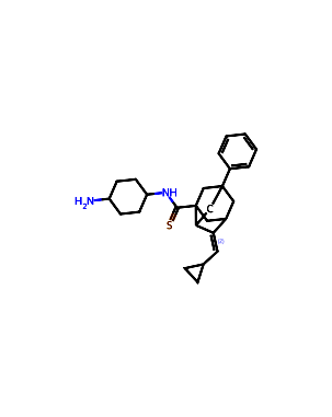 NC1CCC(NC(=S)C23CC4CC(c5ccccc5)(CC2/C4=C\C2CC2)C3)CC1